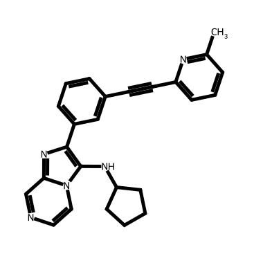 Cc1cccc(C#Cc2cccc(-c3nc4cnccn4c3NC3CCCC3)c2)n1